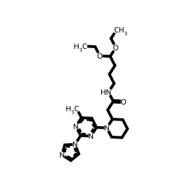 CCOC(CCCNC(=O)CC1CCCCN1c1cc(C)nc(-n2ccnc2)n1)OCC